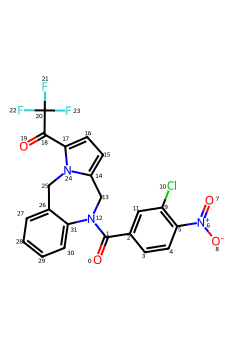 O=C(c1ccc([N+](=O)[O-])c(Cl)c1)N1Cc2ccc(C(=O)C(F)(F)F)n2Cc2ccccc21